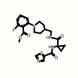 COC(=O)c1c(F)cccc1N1CCC(CNC(=O)C2(NC(=O)c3cncs3)CC2)CC1